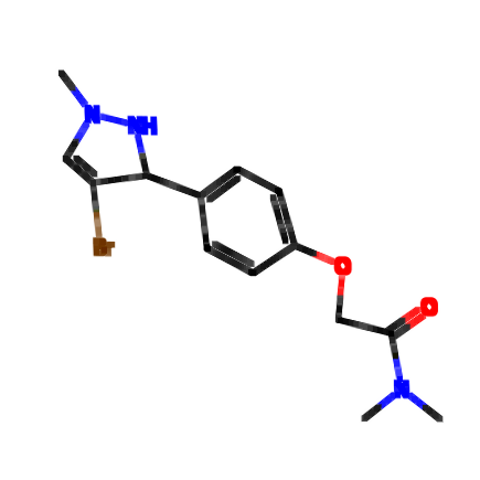 CN1C=C(Br)C(c2ccc(OCC(=O)N(C)C)cc2)N1